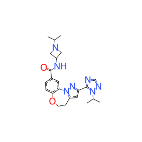 CC(C)N1CC(NC(=O)c2ccc3c(c2)-n2nc(-c4ncnn4C(C)C)cc2CCO3)C1